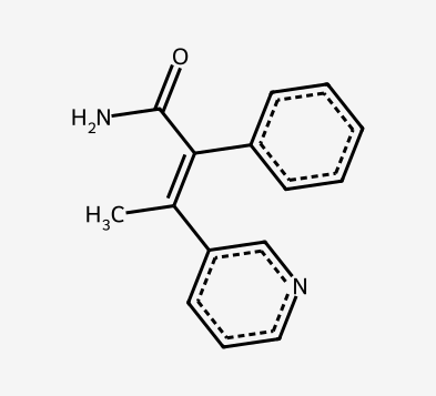 C/C(=C(\C(N)=O)c1ccccc1)c1cccnc1